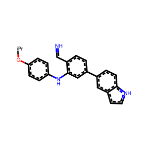 CC(C)Oc1ccc(Nc2cc(-c3ccc4[nH]ccc4c3)ccc2C=N)cc1